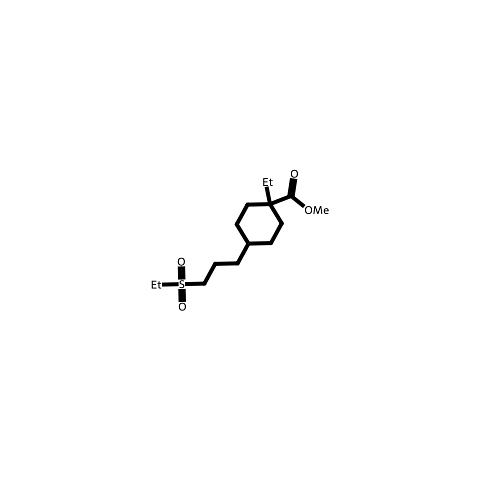 CCC1(C(=O)OC)CCC(CCCS(=O)(=O)CC)CC1